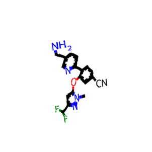 Cn1nc(C(F)F)cc1Oc1cc(C#N)ccc1-c1ccc(CN)cn1